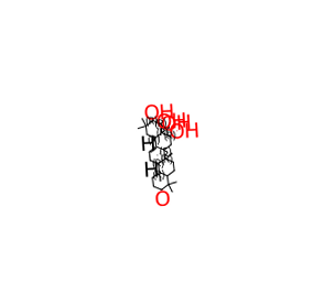 CC1(C)C(=O)CC[C@@]2(C)C1CC[C@]1(C)[C@@H]2CC=C2[C@H]3CC(C)(C)[C@@H](O)[C@H](O)[C@]3(CO)[C@H](O)C[C@]21C